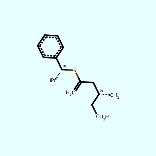 C=C(C[C@H](C)CC(=O)O)S[C@@H](c1ccccc1)C(C)C